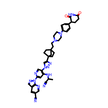 CC(C#N)Nc1cc(-n2ncc3cc(C#N)cnc32)ncc1-n1cc(C23CCC(CCN4CCN(c5ccc(C6CCC(=O)NC6=O)cc5)CC4)(CC2)C3)nn1